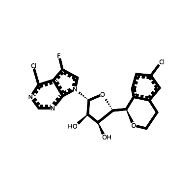 O[C@@H]1[C@H](O)[C@@H]([C@@H]2OCCc3cc(Cl)ccc32)O[C@H]1n1cc(F)c2c(Cl)ncnc21